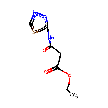 CCOC(=O)CC(=O)Nc1nncs1